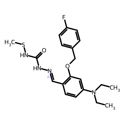 CCN(CC)c1ccc(/C=N/NC(=O)NSC)c(OCc2ccc(F)cc2)c1